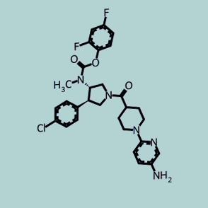 CN(C(=O)Oc1ccc(F)cc1F)[C@@H]1CN(C(=O)C2CCN(c3ccc(N)cn3)CC2)C[C@H]1c1ccc(Cl)cc1